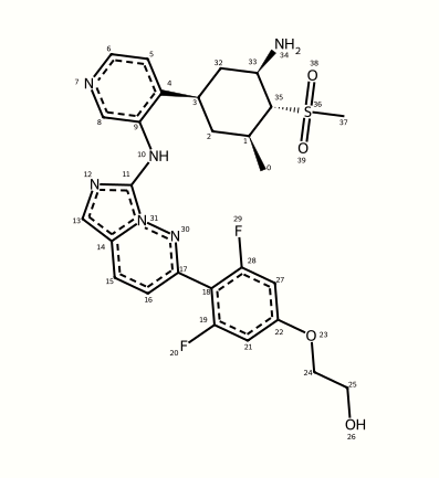 C[C@H]1C[C@@H](c2ccncc2Nc2ncc3ccc(-c4c(F)cc(OCCO)cc4F)nn23)C[C@@H](N)[C@@H]1S(C)(=O)=O